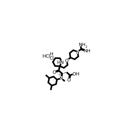 CC1CC(C)CC(N(C)[C@@H](CC(=O)O)C(=O)C2(CCOC3CCN(C(=N)N)CC3)CCCCN2)C1.Cl.Cl